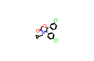 O=C1CO[C@H](c2cccc(Cl)c2)[C@H](c2ccc(Cl)cc2)N1CC1CC1